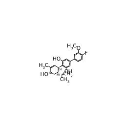 C=C(C)[C@@H]1C[C@H](O)C(C)=C[C@H]1c1c(O)cc(-c2ccc(F)c(OC)c2)cc1O